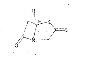 O=C1C[C@H]2SC(=S)CN12